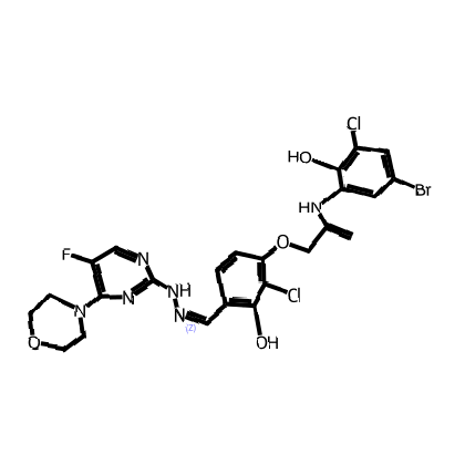 C=C(COc1ccc(/C=N\Nc2ncc(F)c(N3CCOCC3)n2)c(O)c1Cl)Nc1cc(Br)cc(Cl)c1O